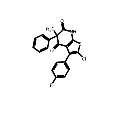 CC1(c2ccccc2)C(=O)Nc2sc(Cl)c(-c3ccc(F)cc3)c2C1=O